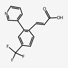 O=C(O)C=Cc1ccc(C(F)(F)F)cc1-c1cccnc1